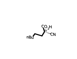 CCCCCC[C@@H](C#N)C(=O)O